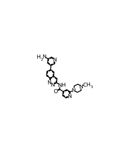 CN1CCN(c2cc(C(=O)Nc3cc4cc(-c5cncc(N)c5)ccc4nn3)ccn2)CC1